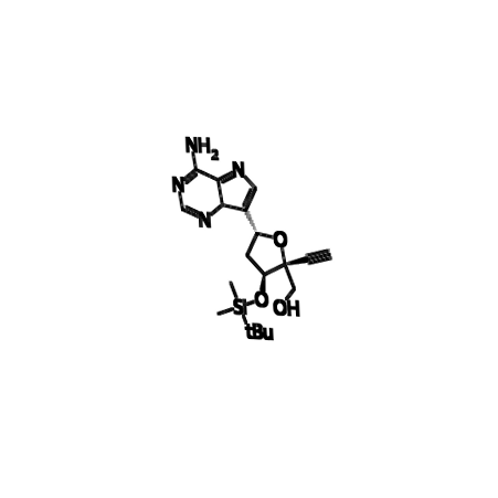 C#C[C@]1(CO)O[C@@H](C2=CN=C3C(N)=NC=NC23)C[C@@H]1O[Si](C)(C)C(C)(C)C